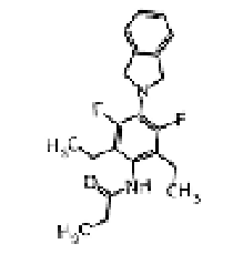 CCC(=O)Nc1c(CC)c(F)c(N2Cc3ccccc3C2)c(F)c1CC